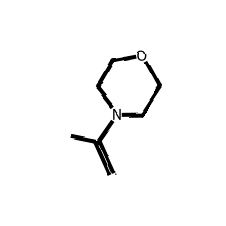 [CH]=C(C)N1CCOCC1